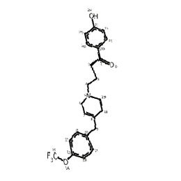 O=C(CCCN1CC=C(Cc2ccc(OC(F)(F)F)cc2)CC1)c1ccc(O)cc1